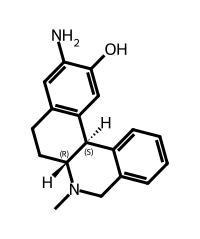 CN1Cc2ccccc2[C@@H]2c3cc(O)c(N)cc3CC[C@H]21